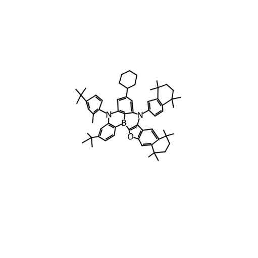 Cc1cc(C(C)(C)C)ccc1N1c2cc(C(C)(C)C)ccc2B2c3oc4cc5c(cc4c3N(c3ccc4c(c3)C(C)(C)CCC4(C)C)c3cc(C4CCCCC4)cc1c32)C(C)(C)CCC5(C)C